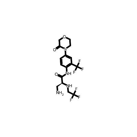 NC[C@H](NCC(F)(F)F)C(=O)Nc1ccc(N2CCOCC2=O)cc1C(F)(F)F